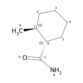 C[C@H]1CCCC[C@@H]1C(N)=O